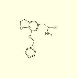 CC(C)C(N)Cc1cc2c(c(OCc3ccccc3)c1)OCC2